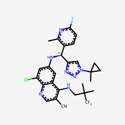 Cc1nc(F)ccc1[C@H](Nc1cc(Cl)c2ncc(C#N)c(NCC(C)(C)C(F)(F)F)c2c1)c1cn(C2(C)CC2)nn1